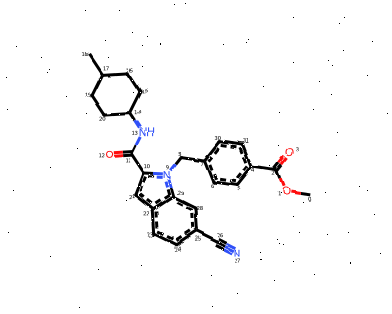 COC(=O)c1ccc(Cn2c(C(=O)NC3CCC(C)CC3)cc3ccc(C#N)cc32)cc1